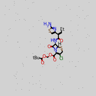 CCC=C(C(=O)N[C@@H]1C(=O)N2C(C(=O)OCOC(=O)C(C)(C)C)=C(Cl)CS[C@@H]12)c1csc(N)n1